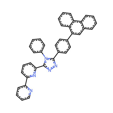 c1ccc(-n2c(-c3ccc(-c4cc5ccccc5c5ccccc45)cc3)nnc2-c2cccc(-c3ccccn3)n2)cc1